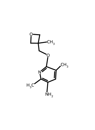 Cc1cc(N)c(C)nc1OCC1(C)COC1